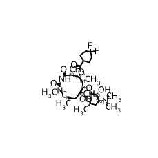 C[C@H]1CN(C)C(=O)NC(=O)[C@H](C)[C@@H](OC(=O)C2CCC(F)(F)CC2)[C@H](C)[C@@H](O[C@@H]2O[C@H](C)C[C@H](N(C)C)[C@H]2O)[C@](C)(O)C1